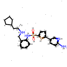 C[C@@H](CC1CCCC1)NCc1ccccc1NS(=O)(=O)c1ccc(-c2ccc(N)nc2)s1